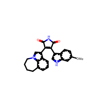 COc1ccc2c(C3=C(c4cn5c6c(cccc46)CCCC5)C(=O)NC3=O)c[nH]c2c1